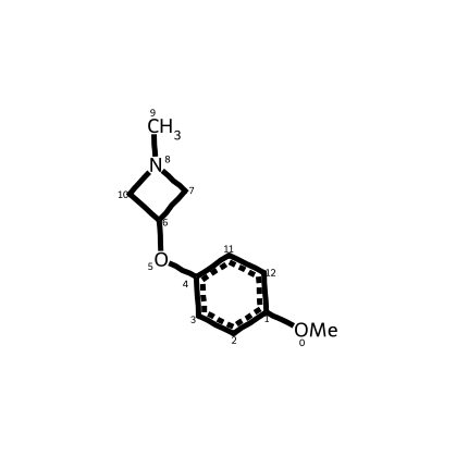 COc1ccc(OC2CN(C)C2)cc1